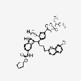 COc1cc(C(=O)NS(=O)(=O)C(C)C)ccc1C(CCCc1ccc2ccc(Cl)cc2n1)c1c[nH]c2ccc(NC(=O)OC3CCCC3)cc12